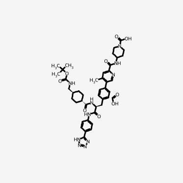 Cc1cc(C(=O)NC2CCN(C(=O)O)CC2)ncc1-c1ccc(C[C@H](NC(=O)[C@H]2CC[C@H](CNC(=O)OC(C)(C)C)CC2)C(=O)Nc2ccc(-c3nnn[nH]3)cc2)cc1.O=CO